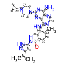 C=C(C)c1cc(NC(=O)c2ccc(C)c(Nc3ncnc4c(N)nc(N5CCN(C6CC6)CC5)nc34)c2)[nH]n1